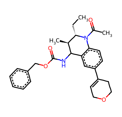 CC[C@H]1[C@H](C)C(NC(=O)OCc2ccccc2)c2cc(C3=CCOCC3)ccc2N1C(C)=O